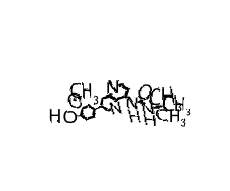 COc1cc(-c2cnc3c(NC(=O)NC(C)(C)C)ccnc3c2)ccc1O